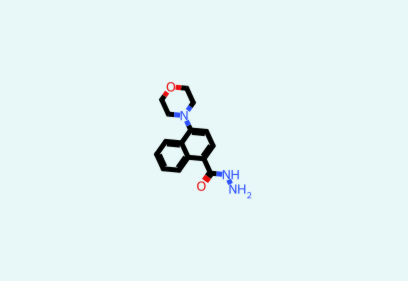 NNC(=O)c1ccc(N2CCOCC2)c2ccccc12